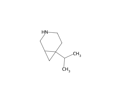 CC(C)C12CCNCC1C2